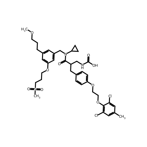 COCCCc1cc(CN(C(=O)C(CNC(=O)O)Cc2ccc(OCCOc3c(Cl)cc(C)cc3Cl)cc2)C2CC2)cc(OCCCS(C)(=O)=O)c1